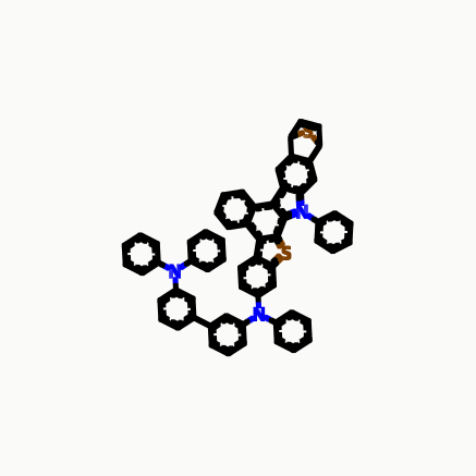 C1=CC2SC1c1cc3c4c5ccccc5c5c6ccc(N(c7ccccc7)c7cccc(-c8cccc(N(c9ccccc9)c9ccccc9)c8)c7)cc6sc5c4n(-c4ccccc4)c3cc12